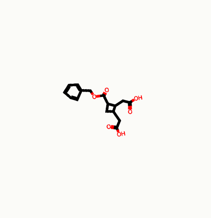 O=C(O)CC1CC(C(=O)OCc2ccccc2)C1CC(=O)O